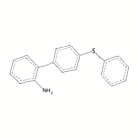 Nc1ccccc1-c1ccc(Sc2ccccc2)cc1